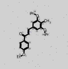 CCOc1ccc(C(=O)/C=C/c2cc(OC(C)C)c(C)c(OC(C)C)c2)cc1